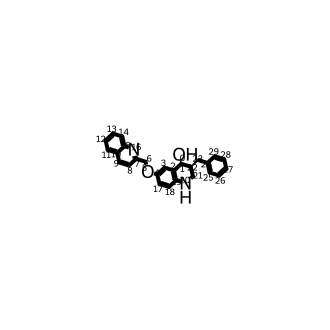 O[C@H]1c2cc(OCc3ccc4ccccc4n3)ccc2NC[C@@H]1Cc1ccccc1